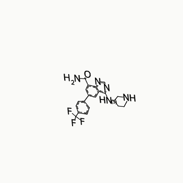 NC(=O)c1cc(-c2ccc(C(F)(F)F)cc2)cc2c(N[C@H]3CCCNC3)ncnc12